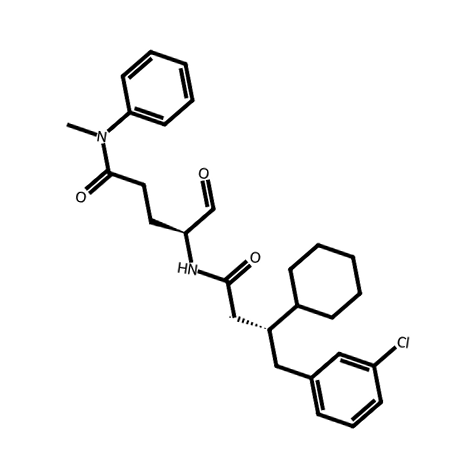 CN(C(=O)CC[C@@H](C=O)NC(=O)[CH][C@@H](Cc1cccc(Cl)c1)C1CCCCC1)c1ccccc1